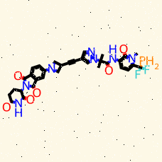 Cn1c(C(F)(F)P)ccc(NC(=O)C(C)(C)n2cc(C#CC3CN(c4ccc5c(c4)C(=O)N(C4CCC(=O)NC4=O)C5=O)C3)cn2)c1=O